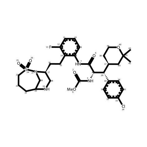 COC(=O)N[C@H](C(=O)Nc1cccc(F)c1CC[C@H]1CNC2CCCS(=O)(=O)N1C2)[C@@H](c1ccc(Cl)cc1)[C@H]1CCOC(C)(C)C1